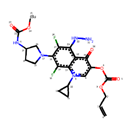 C=CCOC(=O)Oc1cn(C2CC2)c2c(F)c(N3CCC(NC(=O)OC(C)(C)C)C3)c(F)c(NN)c2c1=O